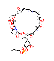 CCCCOP(C)(=O)O[C@@H]1CC[C@@H](C[C@@H](C)[C@@H]2CC(=O)[C@H](C)/C=C(\C)[C@@H](O)[C@@H](OC)C(=O)[C@H](C)C[C@H](C)/C=C/C=C/C=C(\C)[C@@H](OC)CC3CC[C@@H](C)[C@@](O)(O3)C(=O)C(=O)N3CCCCC3C(=O)O2)C[C@H]1OC